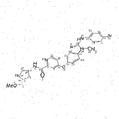 COC[C@H]1C[C@@H](NC(=O)c2cc(Oc3ccc4c(c3)nc(Nc3ccc(Br)cc3)n4C)ccn2)CN1